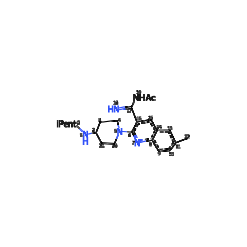 CCCC(C)NC1CCN(c2nc3ccc(C)cc3cc2C(=N)NC(C)=O)CC1